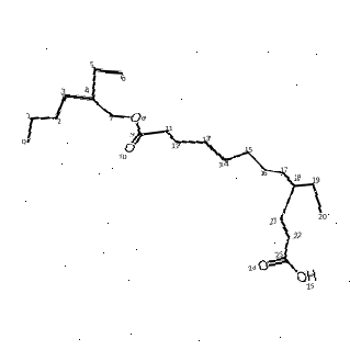 CCCCC(CC)COC(=O)CCCCCCCC(CC)CCC(=O)O